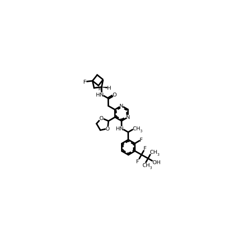 CC(Nc1ncnc(CC(=O)N[C@@H]2CC3(F)CC2C3)c1C1OCCO1)c1cccc(C(F)(F)C(C)(C)O)c1F